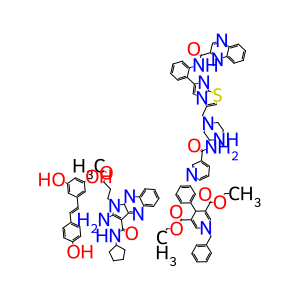 CCOC(=O)C1=CN(Cc2ccccc2)C=C(C(=O)OCC)C1c1ccccc1.COCCCn1c(N)c(C(=O)NC2CCCC2)c2nc3ccccc3nc21.NC(=O)c1cccnc1.O=C(Nc1ccccc1-c1cn2c(CN3CCNCC3)csc2n1)c1cnc2ccccc2n1.Oc1ccc(/C=C/c2cc(O)cc(O)c2)cc1